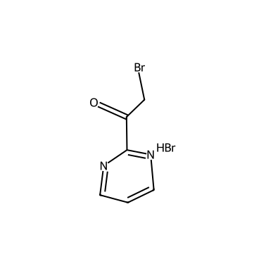 Br.O=C(CBr)c1ncccn1